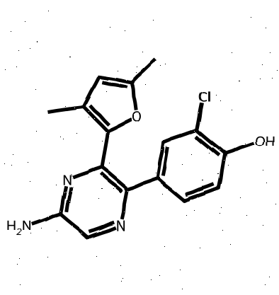 Cc1cc(C)c(-c2nc(N)cnc2-c2ccc(O)c(Cl)c2)o1